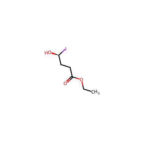 CCOC(=O)CC[C@@H](O)I